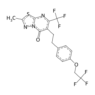 Cc1nn2c(=O)c(CCc3ccc(OCC(F)(F)F)cc3)c(C(F)(F)F)nc2s1